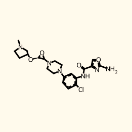 CN1CCC(O[C@H]2OC2N2CCN(c3ccc(Cl)c(NC(=O)c4coc(N)n4)c3)CC2)C1